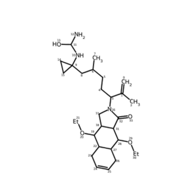 C=C(C)C(CCC(C)CC1(NC(N)O)CC1)N1CC2C(OCC)C3CC=CCC3C(OCC)C2C1=O